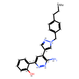 CNCCc1ccc(Cn2cc(-c3cc(-c4ccccc4O)nnc3N)cn2)cc1